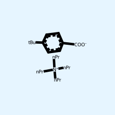 CC(C)(C)c1ccc(C(=O)[O-])cc1.CCC[N+](CCC)(CCC)CCC